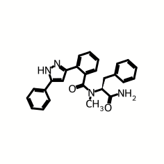 CN(C(=O)c1ccccc1-c1cc(-c2ccccc2)[nH]n1)[C@@H](Cc1ccccc1)C(N)=O